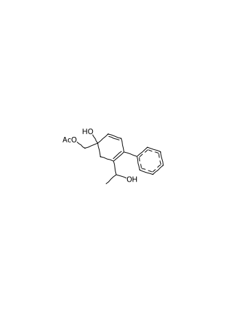 CC(=O)OCC1(O)C=CC(c2ccccc2)=C(C(C)O)C1